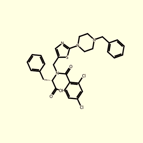 O=C(O)[C@H](Cc1ccccc1)N(Cc1cnc(N2CCN(Cc3ccccc3)CC2)s1)C(=O)c1ccc(Cl)cc1Cl